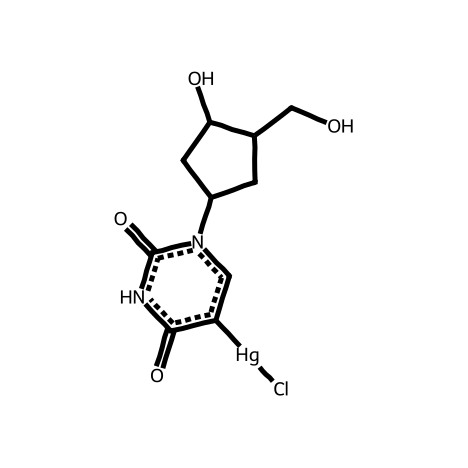 O=c1[nH]c(=O)n(C2CC(O)C(CO)C2)c[c]1[Hg][Cl]